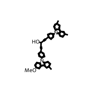 COc1ccc2c(c1)c1cc(C)ccc1n2-c1ccc(C#CC(O)C#Cc2ccc(-n3c4ccc(C)cc4c4cc(C)ccc43)cc2)cc1